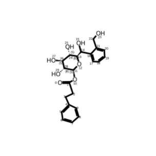 O=C(CCc1ccccc1)O[C@@H]1O[C@H](C(O)c2ccccc2CO)[C@@H](O)[C@H](O)[C@H]1O